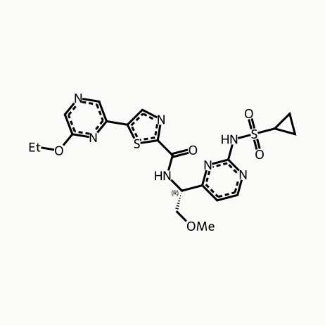 CCOc1cncc(-c2cnc(C(=O)N[C@@H](COC)c3ccnc(NS(=O)(=O)C4CC4)n3)s2)n1